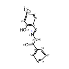 O=C(N/N=C/c1ccc(C(F)(F)F)cc1O)c1ccccc1